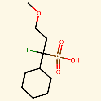 COCCC(F)(C1CCCCC1)S(=O)(=O)O